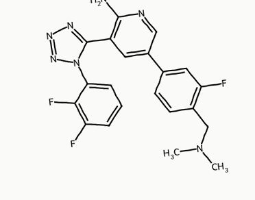 CN(C)Cc1ccc(-c2cnc(N)c(-c3nnnn3-c3cccc(F)c3F)c2)cc1F